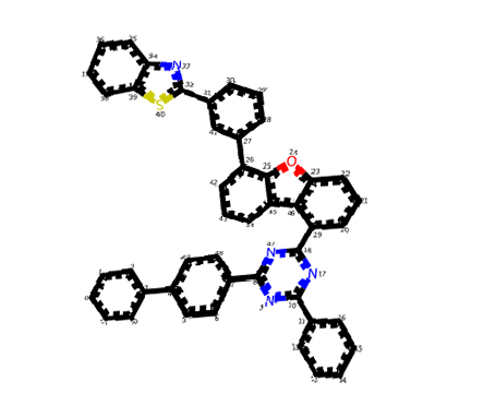 c1ccc(-c2ccc(-c3nc(-c4ccccc4)nc(-c4cccc5oc6c(-c7cccc(-c8nc9ccccc9s8)c7)cccc6c45)n3)cc2)cc1